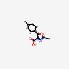 Cc1ccc(-c2oc(C)nc2C(=O)O)cc1